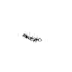 Cc1ccc(S(=O)(=O)NC(=O)N2CCC(CNC(=O)OC(C)(C)C)CC2)cc1